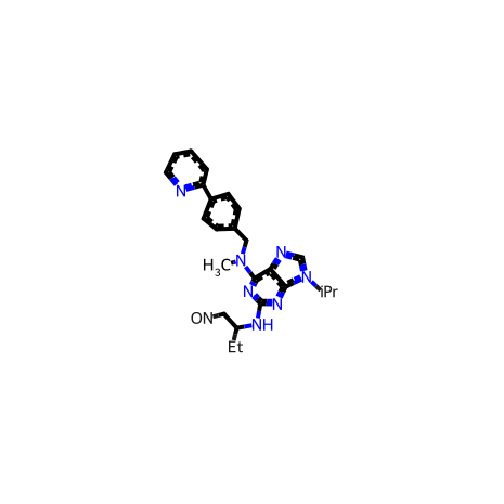 CCC(CN=O)Nc1nc(N(C)Cc2ccc(-c3ccccn3)cc2)c2ncn(C(C)C)c2n1